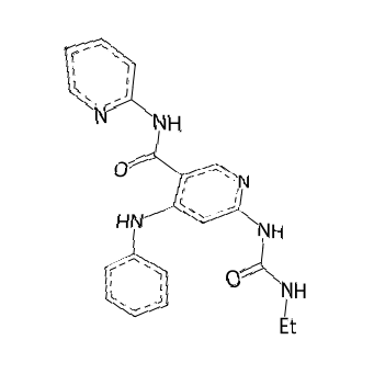 CCNC(=O)Nc1cc(Nc2ccccc2)c(C(=O)Nc2ccccn2)cn1